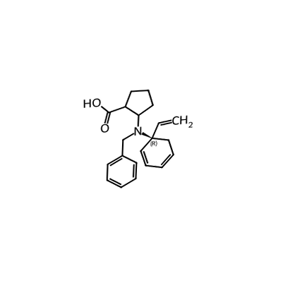 C=C[C@@]1(N(Cc2ccccc2)C2CCCC2C(=O)O)C=CC=CC1